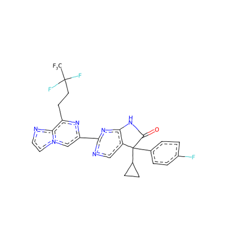 O=C1Nc2nc(-c3cn4ccnc4c(CCC(F)(F)C(F)(F)F)n3)ncc2C1(c1ccc(F)cc1)C1CC1